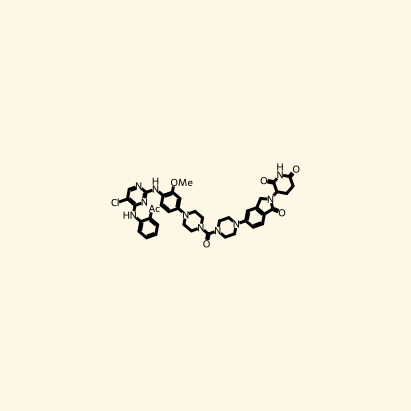 COc1cc(N2CCN(C(=O)N3CCN(c4ccc5c(c4)CN(C4CCC(=O)NC4=O)C5=O)CC3)CC2)ccc1Nc1ncc(Cl)c(Nc2ccccc2C(C)=O)n1